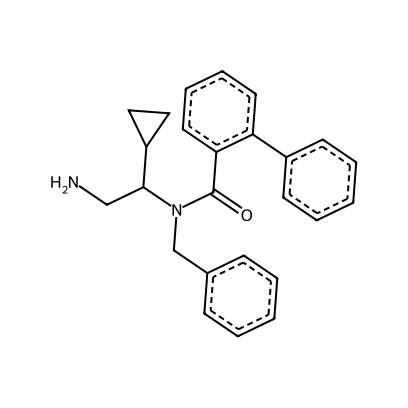 NCC(C1CC1)N(Cc1ccccc1)C(=O)c1ccccc1-c1ccccc1